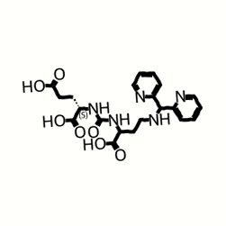 O=C(O)CC[C@H](NC(=O)NC(CCNC(c1ccccn1)c1ccccn1)C(=O)O)C(=O)O